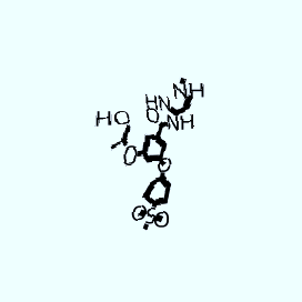 CN/C=C\C(=N)NC(=O)c1cc(Oc2ccc(S(C)(=O)=O)cc2)cc(O[C@@H](C)CO)c1